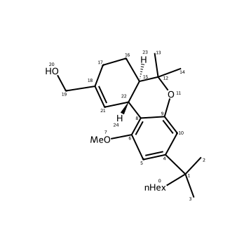 CCCCCCC(C)(C)c1cc(OC)c2c(c1)OC(C)(C)[C@@H]1CCC(CO)=C[C@@H]21